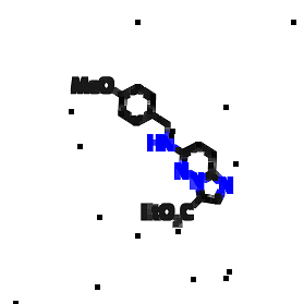 CCOC(=O)c1cnc2ccc(NCc3ccc(OC)cc3)nn12